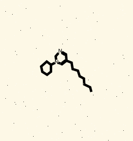 CCCCCCCCC1=CN(C2CCCCC2)CN=C1